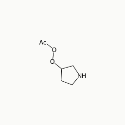 CC(=O)OOC1CCNC1